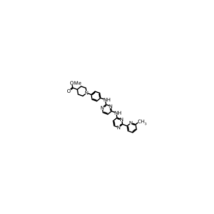 COC(=O)C1CCN(c2ccc(Nc3nccc(Nc4ccnc(-c5cccc(C)n5)n4)n3)cc2)CC1